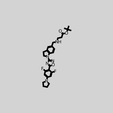 CC(C)(C)OC(=O)CCNCc1ccc2c(c1)CCN2c1noc(-c2c(F)cc(N3CCCC3)cc2F)n1